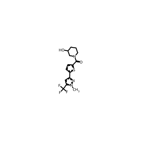 Cn1nc(-c2ccc(C(=O)N3CCCC(O)C3)s2)cc1C(F)(F)F